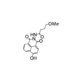 COCCCC(=O)NN1C(=O)c2cccc3c(O)ccc(c23)C1=O